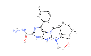 Cc1cccc(-c2nc(C(=O)NN)nc3nc(N4CCOCC4)n(CC4CCC(C)CC4)c23)c1